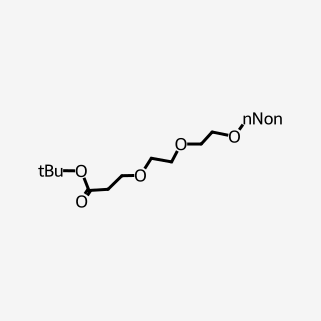 CCCCCCCCCOCCOCCOCCC(=O)OC(C)(C)C